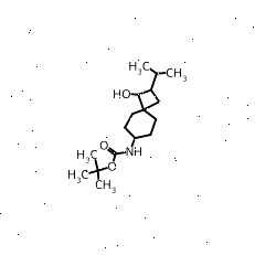 CC(C)C1CC2(CCC(NC(=O)OC(C)(C)C)CC2)C1O